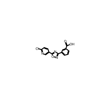 O=C(O)c1cccc(-c2noc(-c3ccc(Cl)nc3)n2)c1